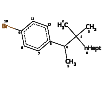 CCCCCCCC(C)(C)C(C)c1ccc(Br)cc1